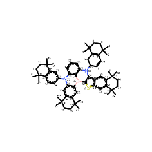 CC1(C)CCC(C)(C)C2=C1C=CC(N1c3cccc4c3B(c3cc5c(cc3N4c3ccc4c(c3)C(C)(C)CCC4(C)C)C(C)(C)CCC5(C)C)c3sc4cc5c(cc4c31)C(C)(C)CCC5(C)C)C2